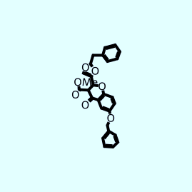 COC(=O)C1C(=O)c2cc(OCc3ccccc3)ccc2OC1C1=COC(Cc2ccccc2)O1